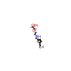 C#Cc1ccc(CNCCOCCO)s1